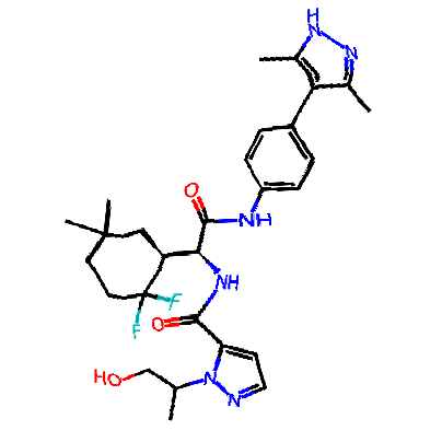 Cc1n[nH]c(C)c1-c1ccc(NC(=O)[C@@H](NC(=O)c2ccnn2C(C)CO)[C@@H]2CC(C)(C)CCC2(F)F)cc1